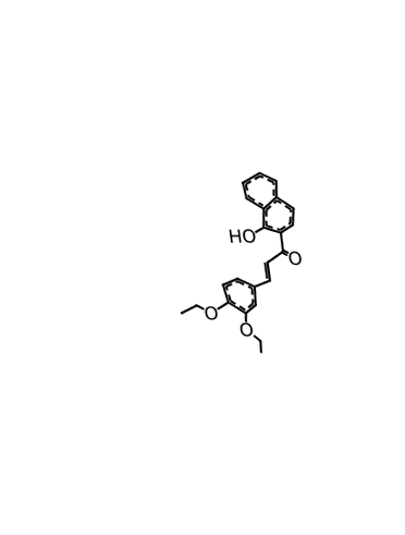 CCOc1ccc(/C=C/C(=O)c2ccc3ccccc3c2O)cc1OCC